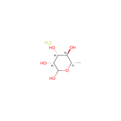 C[C@@H]1OC(O)[C@H](O)[C@H](O)[C@H]1O.S